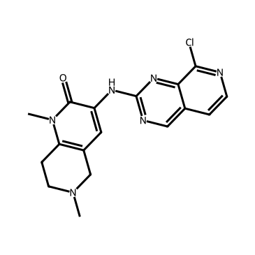 CN1CCc2c(cc(Nc3ncc4ccnc(Cl)c4n3)c(=O)n2C)C1